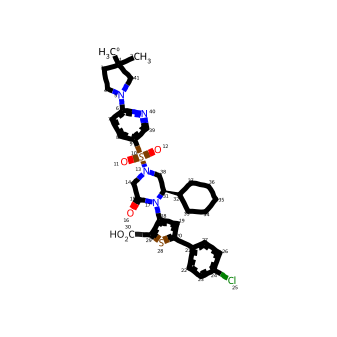 CC1(C)CCN(c2ccc(S(=O)(=O)N3CC(=O)N(c4cc(-c5ccc(Cl)cc5)sc4C(=O)O)[C@H](C4CCCCC4)C3)cn2)C1